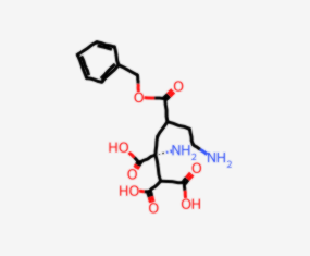 NCCC(C[C@](N)(C(=O)O)C(C(=O)O)C(=O)O)C(=O)OCc1ccccc1